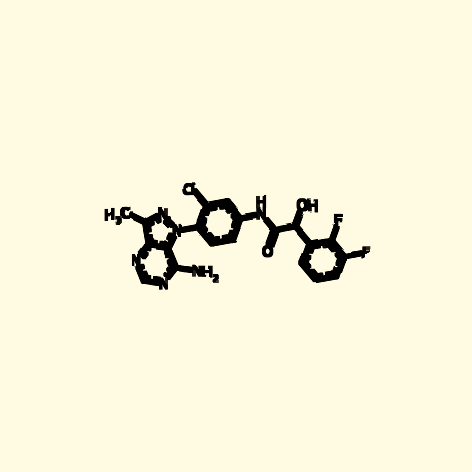 Cc1nn(-c2ccc(NC(=O)C(O)c3cccc(F)c3F)cc2Cl)c2c(N)ncnc12